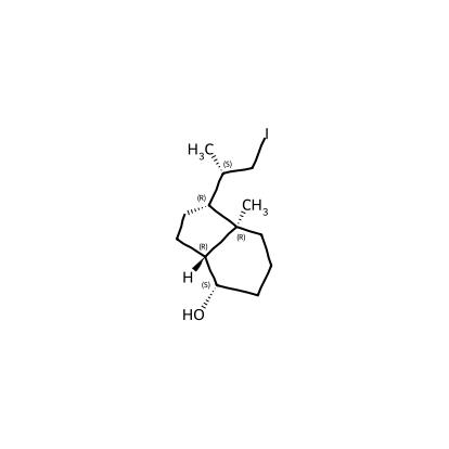 C[C@H](CI)[C@H]1CC[C@H]2[C@@H](O)CCC[C@]12C